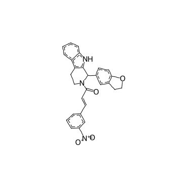 O=C(C=Cc1cccc([N+](=O)[O-])c1)N1CCc2c([nH]c3ccccc23)C1c1ccc2c(c1)CCO2